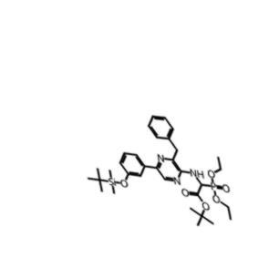 CCOP(=O)(OCC)C(Nc1ncc(-c2cccc(O[Si](C)(C)C(C)(C)C)c2)nc1Cc1ccccc1)C(=O)OC(C)(C)C